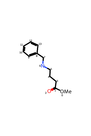 COC(=O)CCC[N]Cc1ccccc1